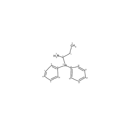 CCC(N)N(c1ccccc1)c1ccccc1